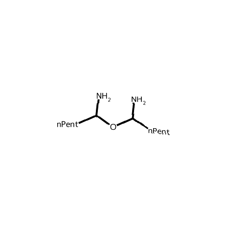 CCCCCC(N)OC(N)CCCCC